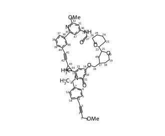 COCC#Cc1ccc([C@H](C)n2c(C)cc(OCC3CCOC(C4CCC[C@@H](C(=O)Nc5cc(OC)nc(-c6cccc(C#CC7CC7)c6)c5)O4)C3)cc2=O)cc1